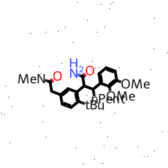 CCCCCC(c1cccc(OC)c1OC)C(C(N)=O)c1cc(CC(=O)NC)ccc1C(C)(C)C